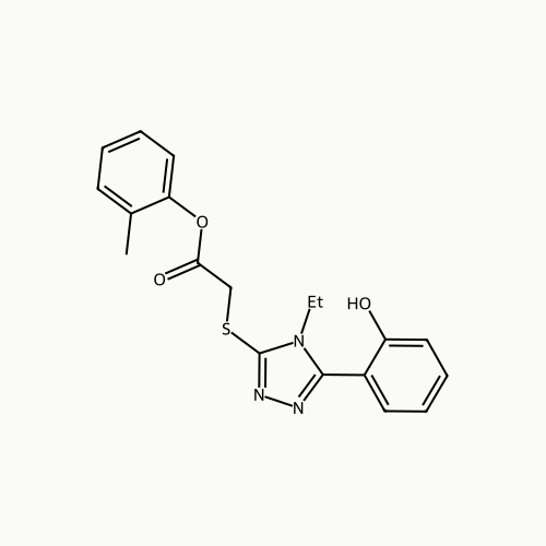 CCn1c(SCC(=O)Oc2ccccc2C)nnc1-c1ccccc1O